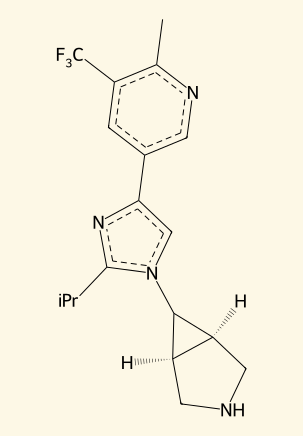 Cc1ncc(-c2cn(C3[C@H]4CNC[C@@H]34)c(C(C)C)n2)cc1C(F)(F)F